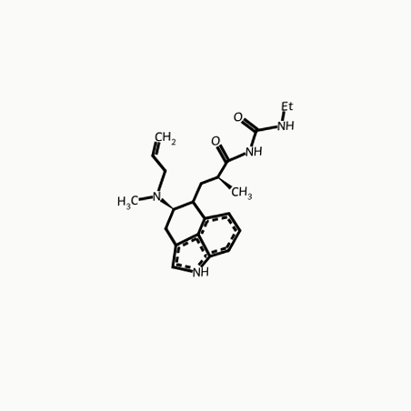 C=CCN(C)[C@@H]1Cc2c[nH]c3cccc(c23)C1C[C@H](C)C(=O)NC(=O)NCC